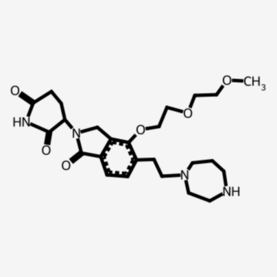 COCCOCCOc1c(CCN2CCCNCC2)ccc2c1CN(C1CCC(=O)NC1=O)C2=O